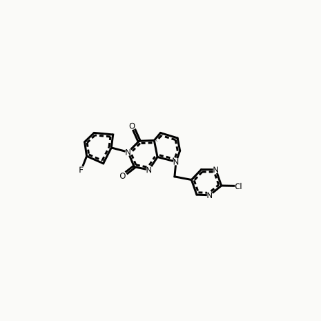 O=c1nc2n(Cc3cnc(Cl)nc3)cccc-2c(=O)n1-c1cccc(F)c1